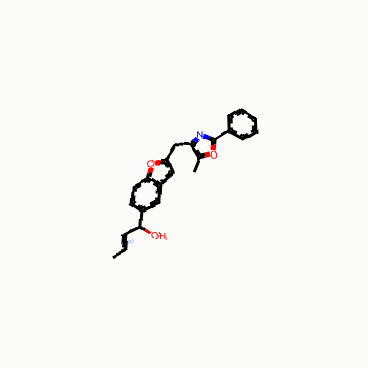 C/C=C/C(O)c1ccc2oc(Cc3nc(-c4ccccc4)oc3C)cc2c1